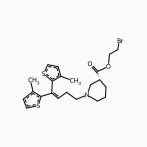 Cc1ccsc1C(=CCCN1CCC[C@@H](C(=O)OCCBr)C1)c1sccc1C